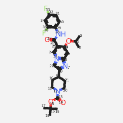 CC(C)Oc1cc2nc(C3CCN(C(=O)OC(C)(C)C)CC3)cn2cc1C(=O)Nc1ccc(F)cc1F